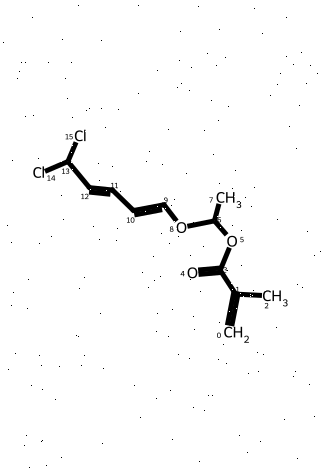 C=C(C)C(=O)OC(C)OC=CC=CC(Cl)Cl